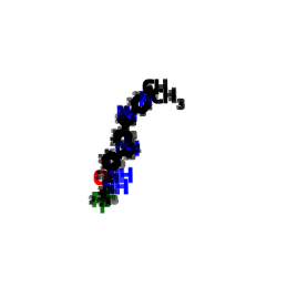 CC(C)N1CCC(n2cc(-c3ccn4c(-c5cccc(NC(=O)NCC(F)(F)F)c5)cnc4c3)cn2)CC1